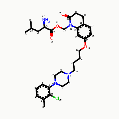 Cc1cccc(N2CCN(CCCCOc3ccc4c(c3)N(COC(=O)C(N)CC(C)C)C(=O)CC4)CC2)c1Cl